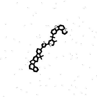 Cc1ccc(-c2cc(-c3ccc4c(c3)C(C)(C)c3cc5c(cc3-4)Cc3ccc4ccccc4c3-5)cs2)cc1C(C)(C)c1ccc2oc3ccc4ccccc4c3c2c1